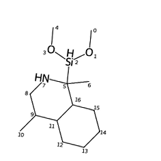 CO[SiH](OC)C1(C)NCC(C)C2CCCCC21